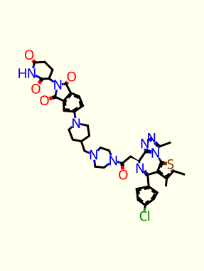 Cc1sc2c(c1C)C(c1ccc(Cl)cc1)=N[C@@H](CC(=O)N1CCN(CC3CCN(c4ccc5c(c4)C(=O)N(C4CCC(=O)NC4=O)C5=O)CC3)CC1)c1nnc(C)n1-2